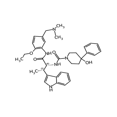 CCOc1ccc(CN(C)C)cc1NC(=O)[C@H](NC(=O)N1CCC(O)(c2ccccc2)CC1)[C@@H](C)c1c[nH]c2ccccc12